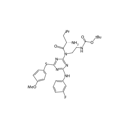 COc1ccc(Sc2nc(Nc3cccc(F)c3)nc(N(CCNC(=O)OC(C)(C)C)C(=O)[C@@H](N)CC(C)C)n2)cc1